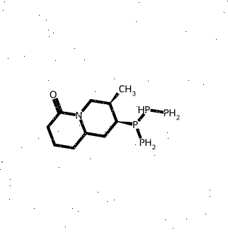 C[C@@H]1CN2C(=O)CCCC2C[C@@H]1P(P)PP